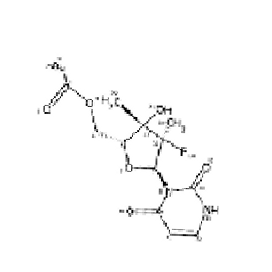 CCCCC(=O)OC[C@H]1O[C@H](n2c(=O)cc[nH]c2=O)[C@](C)(F)[C@@]1(C)O